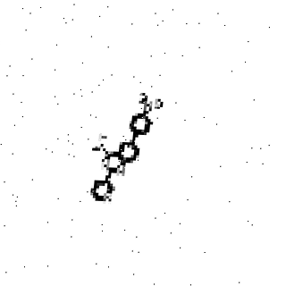 CNc1nc(-c2cccnc2)nc2ccc(-c3ccc([N+](=O)[O-])cc3)cc12